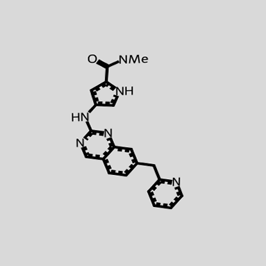 CNC(=O)c1cc(Nc2ncc3ccc(Cc4ccccn4)cc3n2)c[nH]1